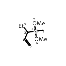 C=CC(CC)[Si](C)(OC)OC